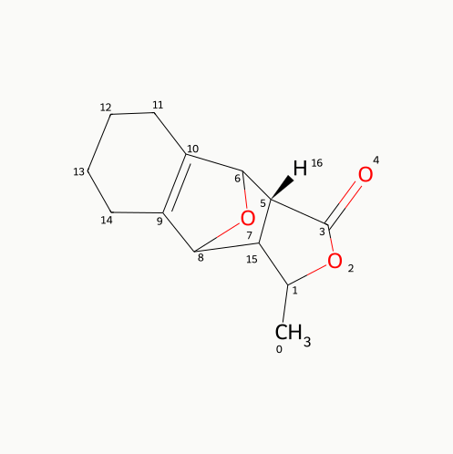 CC1OC(=O)[C@H]2C3OC(C4=C3CCCC4)C12